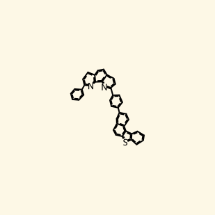 c1ccc(-c2ccc3ccc4ccc(-c5ccc(-c6ccc7c(ccc8sc9ccccc9c87)c6)cc5)nc4c3n2)cc1